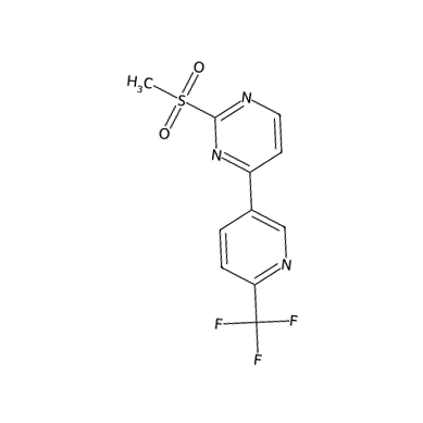 CS(=O)(=O)c1nccc(-c2ccc(C(F)(F)F)nc2)n1